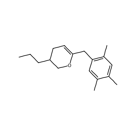 CCCC1CC=C(Cc2cc(C)c(C)cc2C)OC1